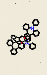 c1ccc(N(c2ccc3c(c2)-c2ccccc2N(c2ccccc2)c2ccccc2-3)c2ccc3c(c2)C2(c4ccccc4-c4ccccc4-3)c3ccccc3-c3cc4ccccc4cc32)cc1